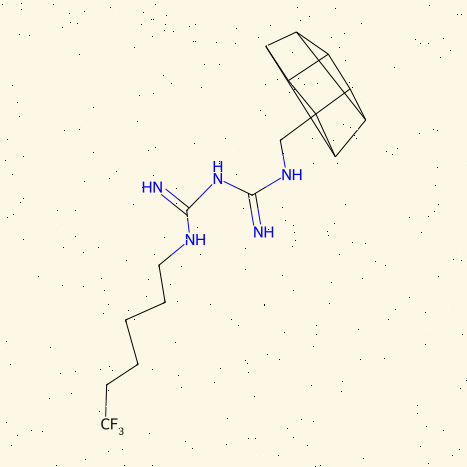 N=C(NCCCCCC(F)(F)F)NC(=N)NCC12C3C4C5C3C1C5C42